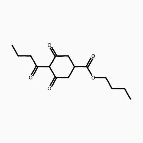 CCCCOC(=O)C1CC(=O)C(C(=O)CCC)C(=O)C1